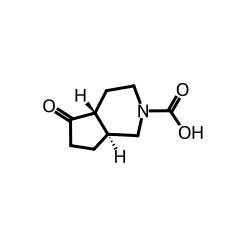 O=C1CC[C@@H]2CN(C(=O)O)CC[C@@H]12